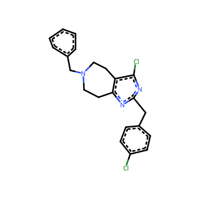 Clc1ccc(Cc2nc(Cl)c3c(n2)CCN(Cc2ccccc2)CC3)cc1